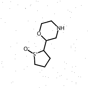 [O-][S+]1CCCC1C1CNCCO1